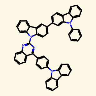 c1ccc(-n2c3ccccc3c3ccc(-c4ccc5c(c4)c4ccccc4n5-c4nc(-c5ccc(-n6c7ccccc7c7ccccc76)cc5)c5ccccc5n4)cc32)cc1